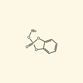 CC(C)(C)OP1(=O)Oc2ccccc2O1